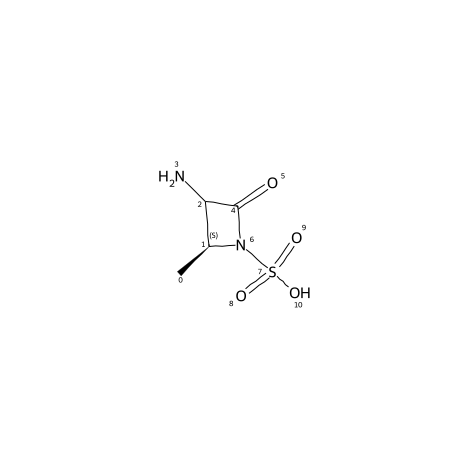 C[C@H]1C(N)C(=O)N1S(=O)(=O)O